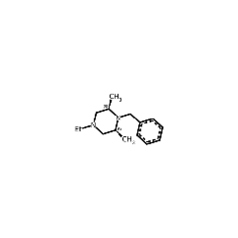 CCN1C[C@@H](C)N(Cc2ccccc2)[C@@H](C)C1